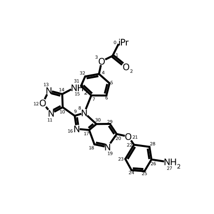 CC(C)C(=O)Oc1ccc(-n2c(-c3nonc3N)nc3cnc(Oc4cccc(N)c4)cc32)cc1